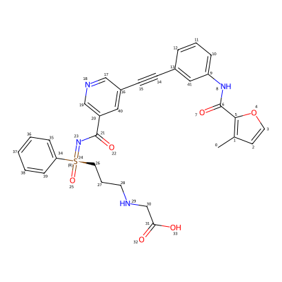 Cc1ccoc1C(=O)Nc1cccc(C#Cc2cncc(C(=O)N=[S@@](=O)(CCCNCC(=O)O)c3ccccc3)c2)c1